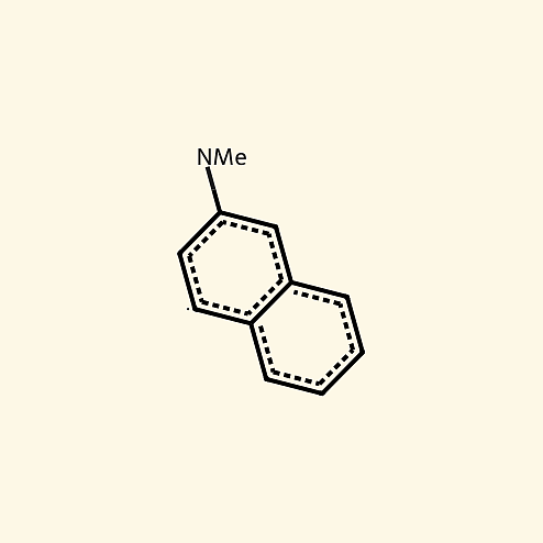 CNc1c[c]c2ccccc2c1